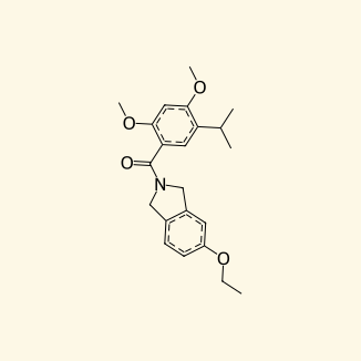 CCOc1ccc2c(c1)CN(C(=O)c1cc(C(C)C)c(OC)cc1OC)C2